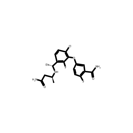 CC[C@@H](N[C@@H](C)CC(N)=O)c1ccc(Cl)c(Oc2ccc(F)c(C(N)=O)c2)c1F